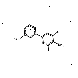 CC(C)COc1cccc(-c2cc(F)c(N)c(Cl)c2)c1